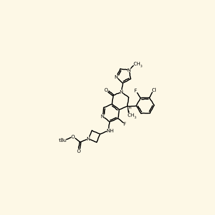 Cn1cnc(N2C[C@](C)(c3cccc(Cl)c3F)c3c(cnc(NC4CN(C(=O)OC(C)(C)C)C4)c3F)C2=O)c1